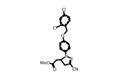 COC(=O)CC1CC(C#N)=NN1c1ccc(OCc2ccc(Cl)cc2Cl)cc1